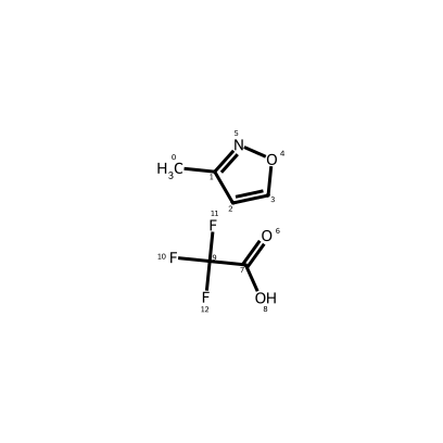 Cc1ccon1.O=C(O)C(F)(F)F